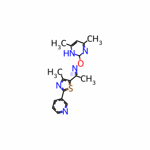 CC1=CC(C)=NC(O/N=C(\C)c2sc(-c3cccnc3)nc2C)N1